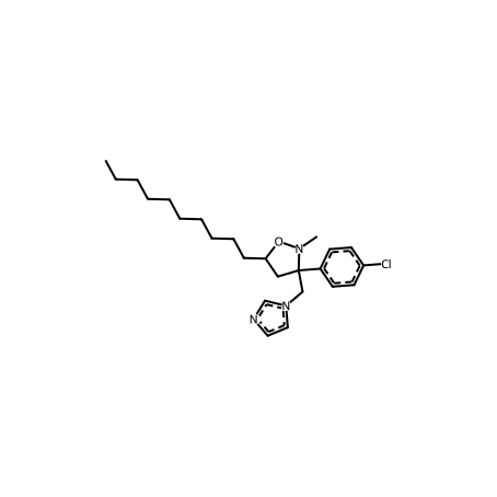 CCCCCCCCCCC1CC(Cn2ccnc2)(c2ccc(Cl)cc2)N(C)O1